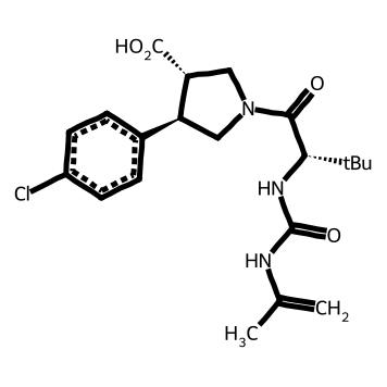 C=C(C)NC(=O)N[C@H](C(=O)N1C[C@@H](C(=O)O)[C@H](c2ccc(Cl)cc2)C1)C(C)(C)C